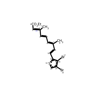 CCOC(=O)/C=C(\C)C=CC=C(C)C=Cc1scc(Br)c1Br